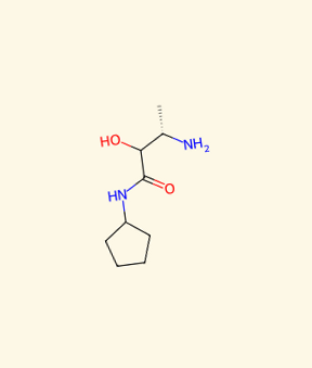 C[C@H](N)C(O)C(=O)NC1CCCC1